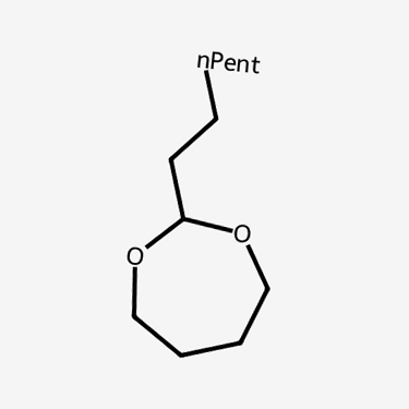 CCCCCCCC1OCCCCO1